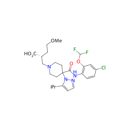 COCC[C@H](CN1CCC(C(=O)Nc2ccc(Cl)cc2OC(F)F)(n2nccc2C(C)C)CC1)C(=O)O